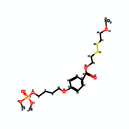 CCOP(=O)(OCC)OCCCCOc1ccc(C(=O)OCCSSCCO[N+](=O)[O-])cc1